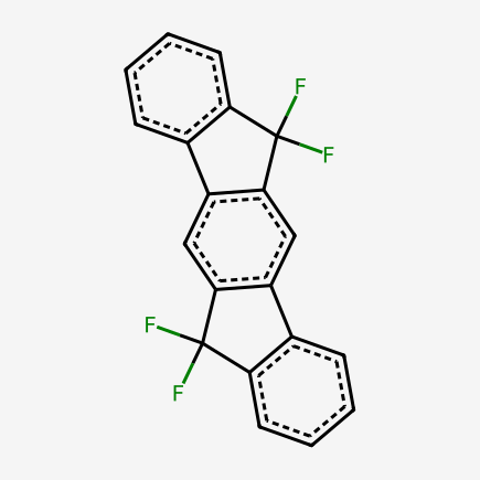 FC1(F)c2ccccc2-c2cc3c(cc21)-c1ccccc1C3(F)F